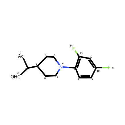 CC(=O)C(C=O)C1CCN(c2ccc(F)cc2F)CC1